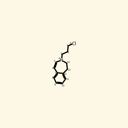 ClCCCN1C=Cc2ccccc2CC1